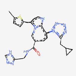 Cc1ccc(-c2cnc3c(-n4nnnc4CC4CC4)cc(C(=O)NCc4nnc[nH]4)cn23)s1